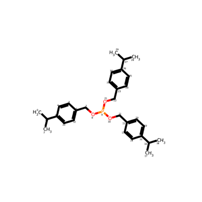 CC(C)c1ccc(COP(OCc2ccc(C(C)C)cc2)OCc2ccc(C(C)C)cc2)cc1